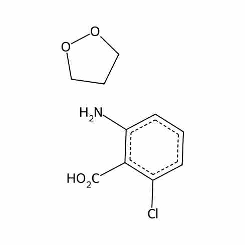 C1COOC1.Nc1cccc(Cl)c1C(=O)O